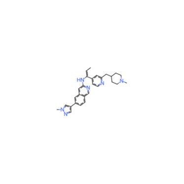 C/C=C(/Nc1cc2cc(-c3cnn(C)c3)ccc2cn1)c1ccnc(CC2CCN(C)CC2)c1